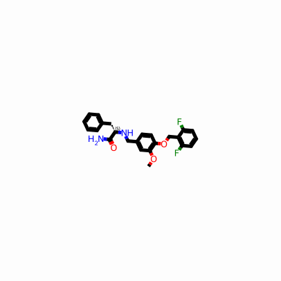 COc1cc(CN[C@@H](Cc2ccccc2)C(N)=O)ccc1OCc1c(F)cccc1F